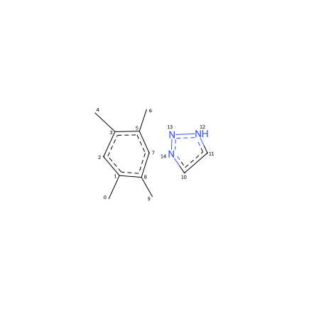 Cc1cc(C)c(C)cc1C.c1c[nH]nn1